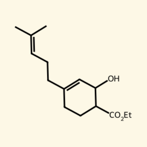 CCOC(=O)C1CCC(CCC=C(C)C)=CC1O